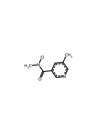 Cc1cncc(C(=O)N(C)Cl)c1